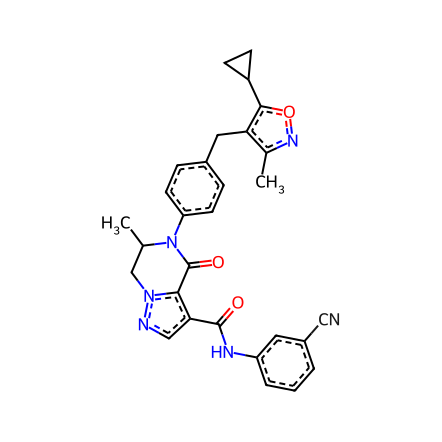 Cc1noc(C2CC2)c1Cc1ccc(N2C(=O)c3c(C(=O)Nc4cccc(C#N)c4)cnn3CC2C)cc1